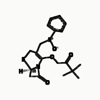 CC(C)(C)C(=O)COC1=C(C[S+]([O-])c2ccccc2)CS[C@@H]2CC(=O)N12